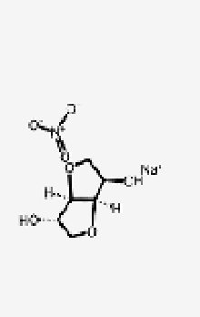 O=[N+]([O-])[O-].O[C@@H]1CO[C@H]2[C@@H]1OC[C@@H]2O.[Na+]